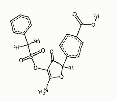 [2H]OC(=O)c1ccc(C2([2H])OC(N)=C(OS(=O)(=O)C([2H])([2H])c3ccccc3)C2=O)cc1